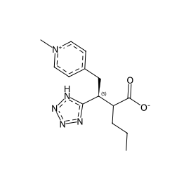 CCCC(C(=O)[O-])[C@H](Cc1cc[n+](C)cc1)c1nnn[nH]1